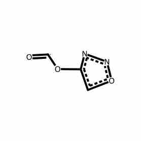 O=[C]Oc1conn1